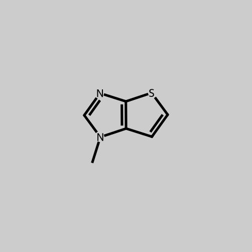 Cn1cnc2sccc21